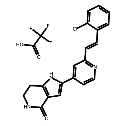 O=C(O)C(F)(F)F.O=C1NCCc2[nH]c(-c3ccnc(/C=C/c4ccccc4Cl)c3)cc21